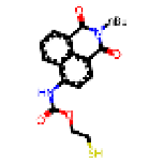 CCCCN1C(=O)c2cccc3c(NC(=O)OCCS)ccc(c23)C1=O